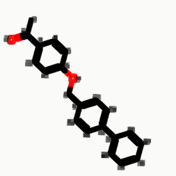 CC(=O)c1ccc(OCc2ccc(-c3ccccc3)cc2)cc1